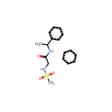 CC(NC(=O)CNS(C)(=O)=O)c1ccccc1.c1ccccc1